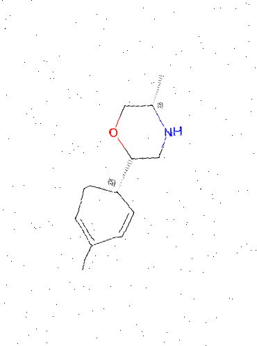 CC1=CC[C@H](C2CN[C@@H](C)CO2)C=C1